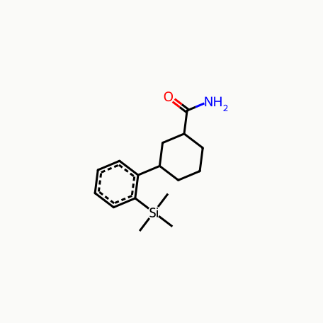 C[Si](C)(C)c1ccccc1C1CCCC(C(N)=O)C1